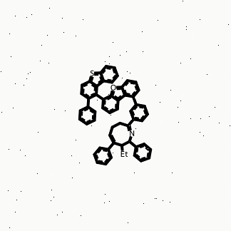 CCC1/C(c2ccccc2)=C\CC/C(c2cccc(-c3cccc4oc5c(-c6c(-c7ccccc7)ccc7sc8ccccc8c67)cccc5c34)c2)=N\C1c1ccccc1